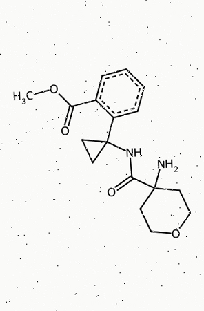 COC(=O)c1ccccc1C1(NC(=O)C2(N)CCOCC2)CC1